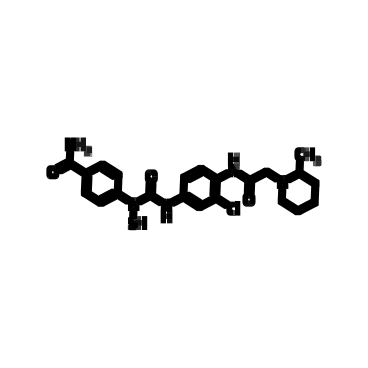 CC1CCCCN1CC(=O)Nc1ccc(NC(=O)N(S)c2ccc(C(N)=O)cc2)cc1Cl